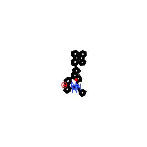 c1ccc(-c2nc(-c3ccccc3)nc(-c3cccc4oc5ccc(-c6ccc7ccc(-c8ccc9c(c8)C8(c%10ccccc%10-c%10ccccc%108)c8ccccc8-9)cc7c6)cc5c34)n2)cc1